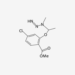 COC(=O)c1ccc(Cl)cc1OC(C)N(C)N=N